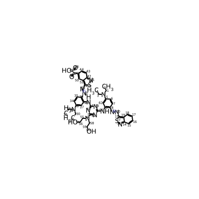 CCN(CC)c1ccc(/N=N/c2snc3ccccc23)c(Nc2nc(Nc3cc(N(CC)CC)ccc3/N=N/c3snc4ccc(S(=O)(=O)O)cc34)nc(N(CCO)CCO)n2)c1